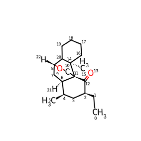 CC[C@H]1C[C@@H](C)[C@H]2C[C@H]3OC[C@]2(C1=O)[C@]1(C)CCCCC31